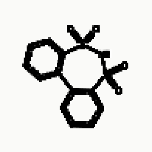 O=S1(=O)NS(=O)(=O)c2ccccc2-c2ccccc21